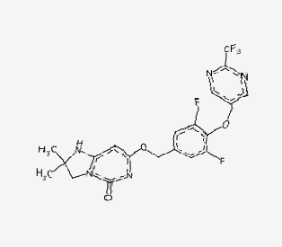 CC1(C)Cn2c(cc(OCc3cc(F)c(Oc4cnc(C(F)(F)F)nc4)c(F)c3)nc2=O)N1